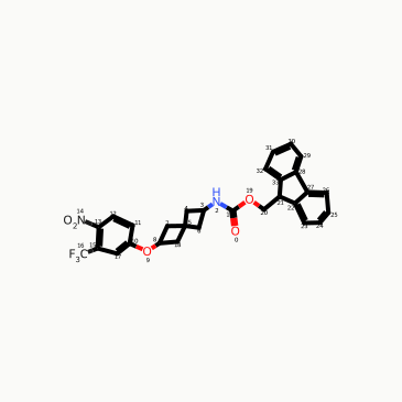 O=C(NC1CC2(C1)CC(Oc1ccc([N+](=O)[O-])c(C(F)(F)F)c1)C2)OCC1c2ccccc2-c2ccccc21